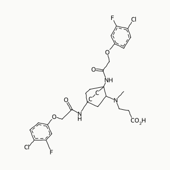 CN(CCC(=O)O)C1CC2(NC(=O)COc3ccc(Cl)c(F)c3)CCC1(NC(=O)COc1ccc(Cl)c(F)c1)CC2